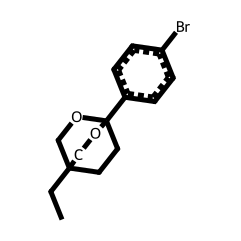 CCC12CCC(c3ccc(Br)cc3)(OC1)OC2